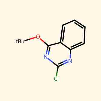 CC(C)(C)Oc1nc(Cl)nc2ccccc12